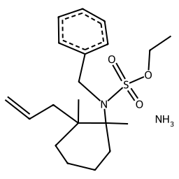 C=CCC1(C)CCCCC1(C)N(Cc1ccccc1)S(=O)(=O)OCC.N